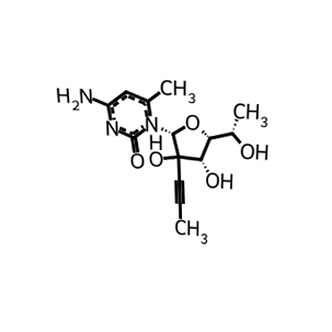 CC#CC1(O)[C@@H](O)[C@@H]([C@H](C)O)O[C@H]1n1c(C)cc(N)nc1=O